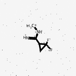 CNC(=N)C1CC1(F)F